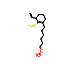 C=CC1CCCC(CCCCCCOO)=C1S[S]